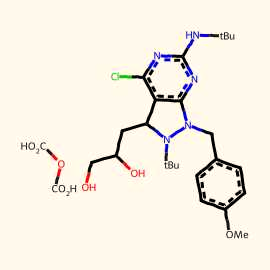 COc1ccc(CN2c3nc(NC(C)(C)C)nc(Cl)c3C(CC(O)CO)N2C(C)(C)C)cc1.O=C(O)OC(=O)O